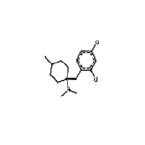 CC1CCC(Cc2ccc(Cl)cc2Cl)(N(C)C)CC1